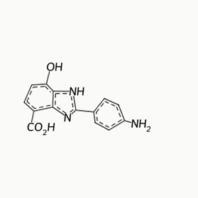 Nc1ccc(-c2nc3c(C(=O)O)ccc(O)c3[nH]2)cc1